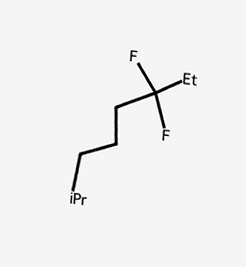 CCC(F)(F)CCCC(C)C